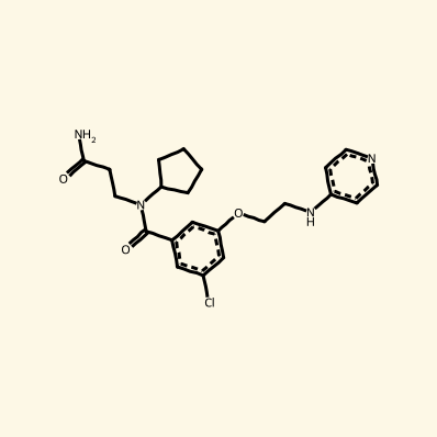 NC(=O)CCN(C(=O)c1cc(Cl)cc(OCCNc2ccncc2)c1)C1CCCC1